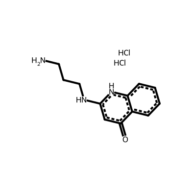 Cl.Cl.NCCCNc1cc(=O)c2ccccc2[nH]1